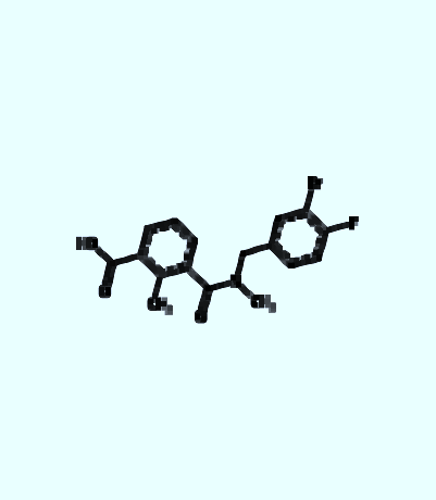 Cc1c(C(=O)O)cccc1C(=O)N(C)Cc1ccc(F)c(Br)c1